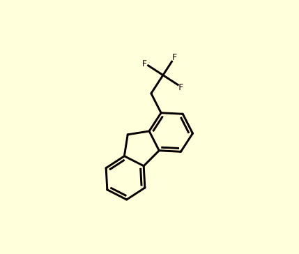 FC(F)(F)Cc1cccc2c1Cc1ccccc1-2